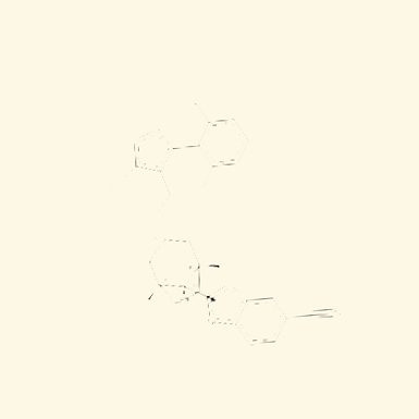 Cc1onc(-c2c(Cl)cccc2Cl)c1CO[C@H]1C[C@H]2C[C@H](C)[C@@H](C1)[C@]2(O)c1nc2ccc(C#N)cc2s1